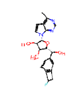 Cc1ncnc2c1ccn2[C@@H]1O[C@H](C(O)c2ccc3c(c2)CC3F)[C@@H](O)[C@H]1O